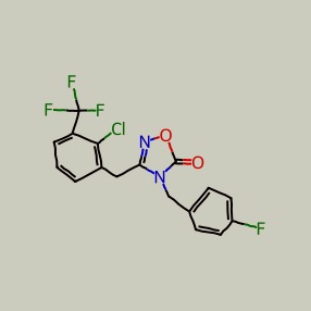 O=c1onc(Cc2cccc(C(F)(F)F)c2Cl)n1Cc1ccc(F)cc1